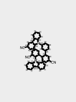 N#Cc1ccc(-c2cccc(C#N)c2-n2c3ccccc3c3ccccc32)c(-c2cccc(-n3c4ccccc4c4cc(C#N)ccc43)c2)c1